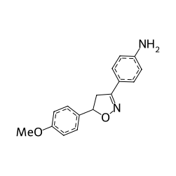 COc1ccc(C2CC(c3ccc(N)cc3)=NO2)cc1